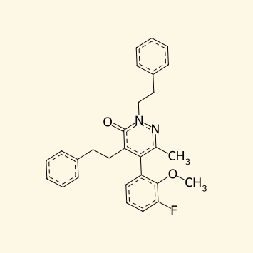 COc1c(F)cccc1-c1c(C)nn(CCc2ccccc2)c(=O)c1CCc1ccccc1